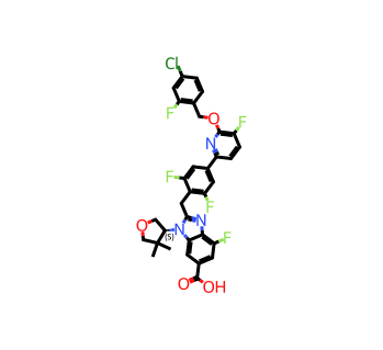 CC1(C)COC[C@H]1n1c(Cc2c(F)cc(-c3ccc(F)c(OCc4ccc(Cl)cc4F)n3)cc2F)nc2c(F)cc(C(=O)O)cc21